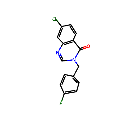 O=c1c2ccc(Cl)cc2ncn1Cc1ccc(F)cc1